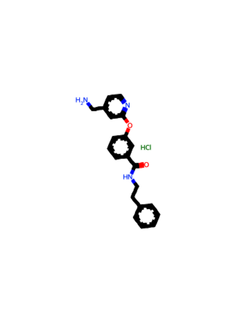 Cl.NCc1ccnc(Oc2cccc(C(=O)NCCc3ccccc3)c2)c1